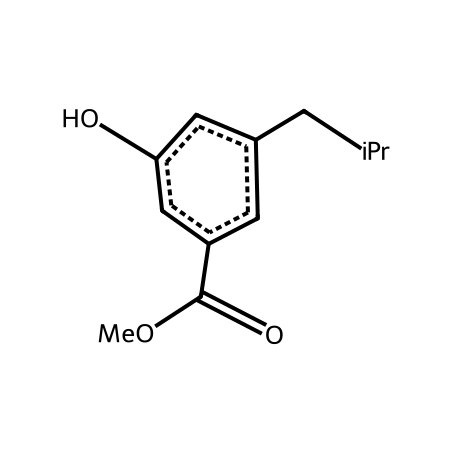 COC(=O)c1cc(O)cc(CC(C)C)c1